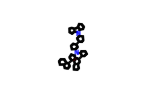 c1cc(-c2cccc(-n3c4ccccc4c4ccccc43)c2)cc(N(c2ccc(-c3cccc4ccccc34)cc2)c2ccccc2-c2ccc3ccccc3c2)c1